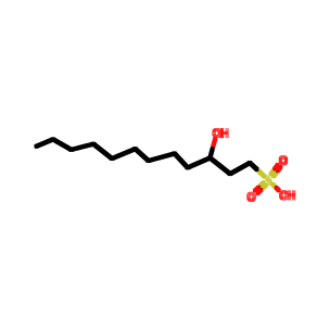 CCCCCCCCCC(O)CCS(=O)(=O)O